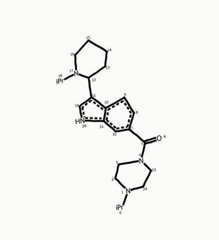 CC(C)N1CCN(C(=O)c2ccc3c(C4CCCCN4C(C)C)c[nH]c3c2)CC1